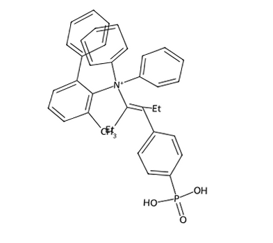 CCC(=C(CC)[N+](c1ccccc1)(c1ccccc1)c1c(C)cccc1-c1ccccc1)c1ccc(P(=O)(O)O)cc1